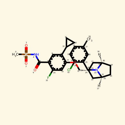 CS(=O)(=O)NC(=O)c1cc(C2CC2)c(OC[C@@H]2C[C@H]3CC[C@@H](C2)N3Cc2cc(C(F)(F)F)ccc2Cl)cc1F